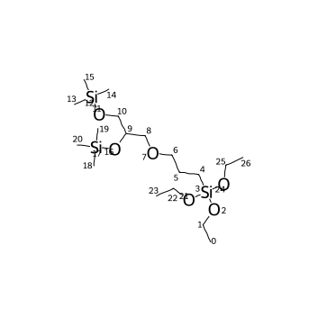 CCO[Si](CCCOCC(CO[Si](C)(C)C)O[Si](C)(C)C)(OCC)OCC